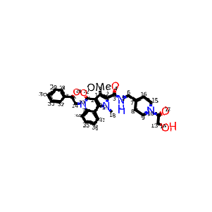 COc1c(C(=O)NCC2CCN(C(=O)CO)CC2)n(C)c2c1c(=O)n(CC(=O)c1ccccc1)c1ccccc21